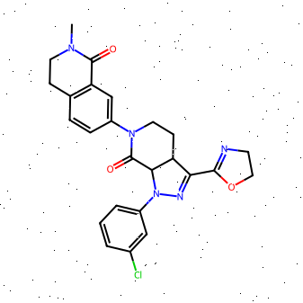 CN1CCc2ccc(N3CCC4C(C5=NCCO5)=NN(c5cccc(Cl)c5)C4C3=O)cc2C1=O